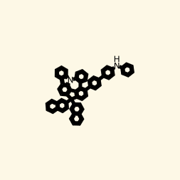 c1ccc(Nc2ccc(-c3ccc(-c4ccc5c6c4-c4ccccc4-n4c7ccccc7c7ccc(c-6c74)C5(c4ccc5ccccc5c4)c4ccc5ccccc5c4)cc3)cc2)cc1